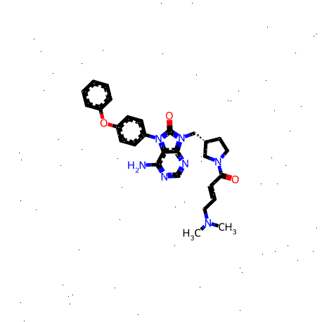 CN(C)C/C=C/C(=O)N1CC[C@@H](Cn2c(=O)n(-c3ccc(Oc4ccccc4)cc3)c3c(N)ncnc32)C1